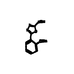 COc1ccccc1-c1nnc(C(C)(C)C)o1